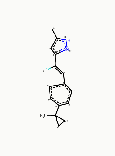 Cc1cc(/C(F)=C/c2ccc(C3(C(F)(F)F)CC3)cc2)n[nH]1